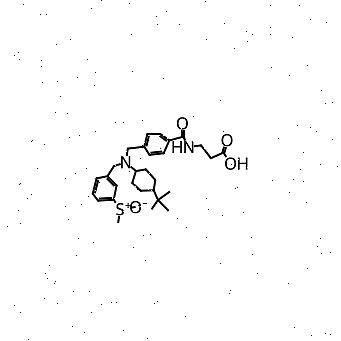 C[S+]([O-])c1cccc(CN(Cc2ccc(C(=O)NCCC(=O)O)cc2)C2CCC(C(C)(C)C)CC2)c1